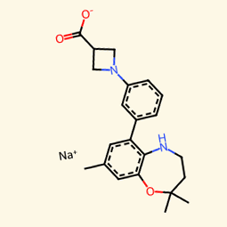 Cc1cc2c(c(-c3cccc(N4CC(C(=O)[O-])C4)c3)c1)NCCC(C)(C)O2.[Na+]